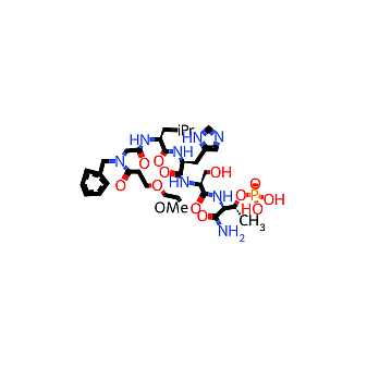 COCCOCCC(=O)N(CC(=O)N[C@@H](CC(C)C)C(=O)N[C@@H](Cc1cnc[nH]1)C(=O)N[C@@H](CO)C(=O)N[C@H](C(N)=O)[C@@H](C)OP(=O)(O)O)Cc1ccccc1